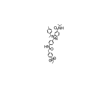 CCS(=O)(=O)c1ccc(CC(=O)Nc2ccc(-c3nc4ccc(C(=O)NC(C)C)cc4n3C(C)c3ccc(C)cc3)cc2)cc1